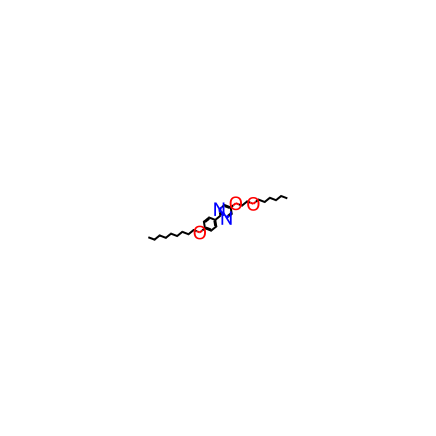 CCCCCCCCCOc1ccc(-c2ncc(OCCOCCCCCC)cn2)cc1